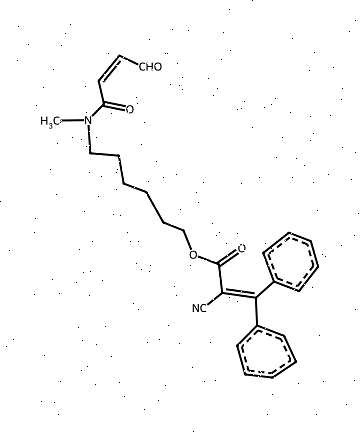 CN(CCCCCCOC(=O)C(C#N)=C(c1ccccc1)c1ccccc1)C(=O)/C=C\C=O